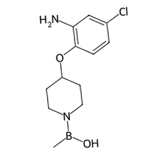 CB(O)N1CCC(Oc2ccc(Cl)cc2N)CC1